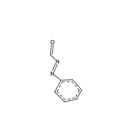 O=CN=Nc1cc[c]cc1